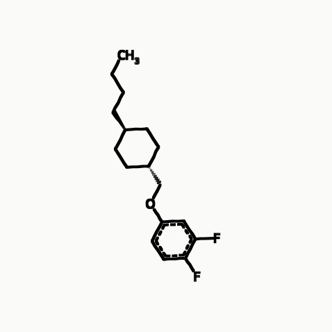 CCCC[C@H]1CC[C@H](COc2ccc(F)c(F)c2)CC1